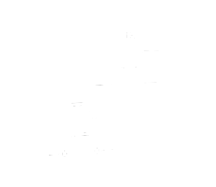 COc1ccc(CCC[C@H]2CCCC[C@H]2O)cc1OC